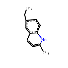 CCc1ccc2c(c1)C=C=C(C)N2